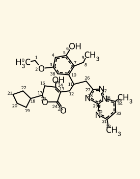 CCOc1cc(O)c(CC)c(C(CC2=C(O)CC(C3CCCC3)OC2=O)Cc2nc3nc(C)cc(C)n3n2)c1